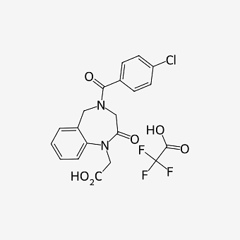 O=C(O)C(F)(F)F.O=C(O)CN1C(=O)CN(C(=O)c2ccc(Cl)cc2)Cc2ccccc21